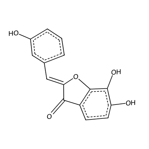 O=C1C(=Cc2cccc(O)c2)Oc2c1ccc(O)c2O